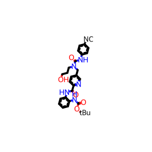 [C-]#[N+]c1ccc(NC(=O)N(CCCO)Cc2ccc(C(=O)Nc3ccccc3NC(=O)OC(C)(C)C)nc2)cc1